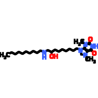 CCCCCCCCCCNCC(O)CCCCCCCN1CN(C)c2c1n(C)c(=O)[nH]c2=O